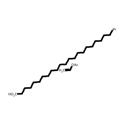 C=COC(C)=O.CC(C)CCCCCCCCCCCCCCCCCCCCCC(=O)O